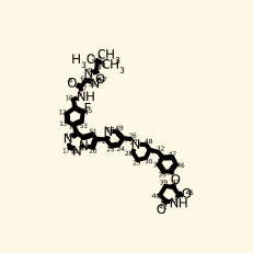 CC(C)(C)c1nc(C(=O)NCc2ccc(-c3ncnn4cc(-c5ccc(CN6CCCC(Cc7ccc(OC8CCC(=O)NC8=O)cc7)C6)cn5)cc34)cc2F)no1